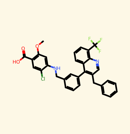 COc1cc(NCc2cccc(-c3c(Cc4ccccc4)cnc4c(C(F)(F)F)cccc34)c2)c(Cl)cc1C(=O)O